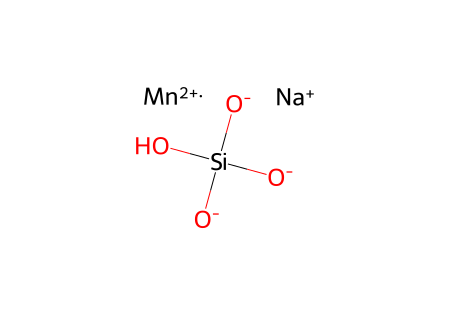 [Mn+2].[Na+].[O-][Si]([O-])([O-])O